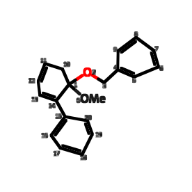 COC1(OCc2ccccc2)CC=CC=C1c1ccccc1